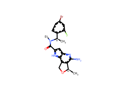 CCN(C(=O)c1cc2nc(N)c3c(c2[nH]1)CO[C@@H]3C)[C@H](C)c1ccc(Br)cc1F